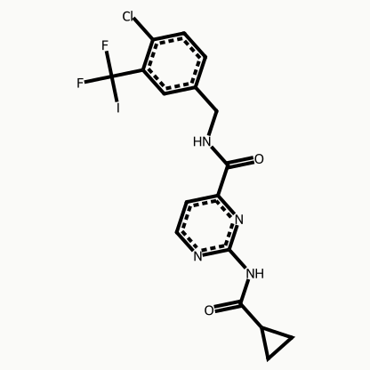 O=C(NCc1ccc(Cl)c(C(F)(F)I)c1)c1ccnc(NC(=O)C2CC2)n1